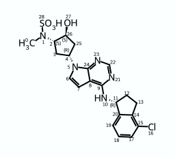 CN([C@H]1C[C@@H](n2ccc3c(N[C@@H]4CCc5c(Cl)cccc54)ncnc32)C[C@@H]1O)S(=O)(=O)O